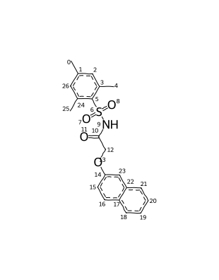 Cc1cc(C)c(S(=O)(=O)NC(=O)COc2ccc3ccccc3c2)c(C)c1